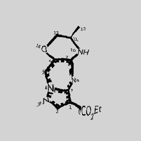 CCOC(=O)c1cnn2cc3c(nc12)N[C@H](C)CO3